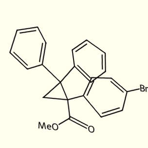 COC(=O)C1(c2ccc(Br)cc2)CC1(c1ccccc1)c1ccccc1